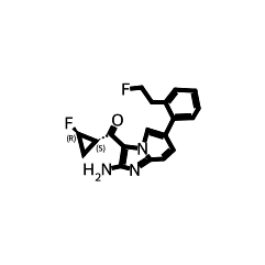 Nc1nc2ccc(-c3ccccc3CCF)cn2c1C(=O)[C@@H]1C[C@H]1F